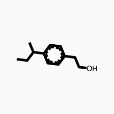 CCC(C)c1ccc(CCO)cc1